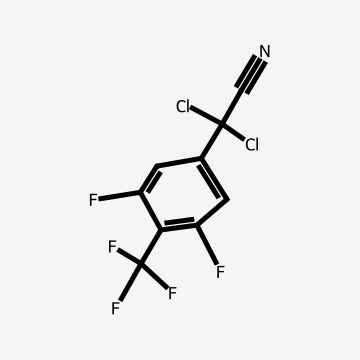 N#CC(Cl)(Cl)c1cc(F)c(C(F)(F)F)c(F)c1